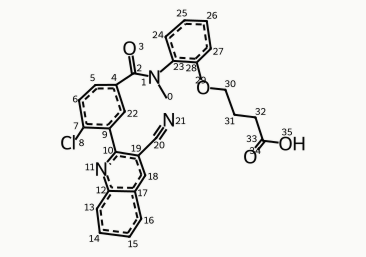 CN(C(=O)c1ccc(Cl)c(-c2nc3ccccc3cc2C#N)c1)c1ccccc1OCCCC(=O)O